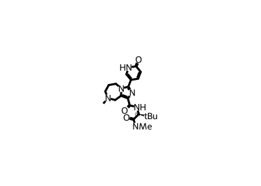 CNC(=O)[C@@H](NC(=O)c1nc(-c2ccc(=O)[nH]c2)n2c1CN(C)CCC2)C(C)(C)C